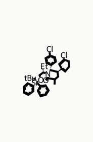 CC[C@@H](CO[Si](c1ccccc1)(c1ccccc1)C(C)(C)C)N1C(=O)C(C)C[C@H](C2=CCCC(Cl)=C2)[C@H]1c1ccc(Cl)cc1